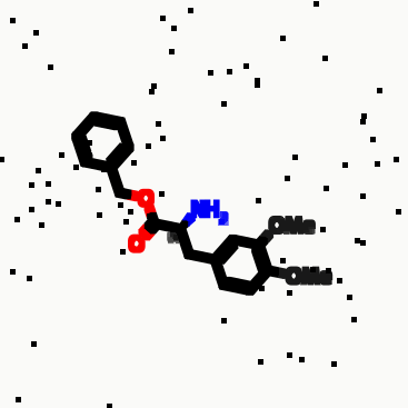 COc1ccc(C[C@H](N)C(=O)OCc2ccccc2)cc1OC